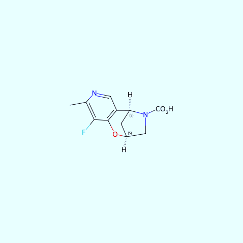 Cc1ncc2c(c1F)O[C@H]1C[C@@H]2N(C(=O)O)C1